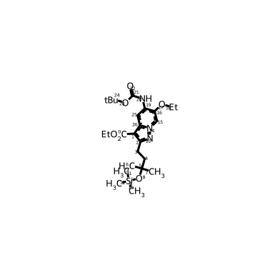 CCOC(=O)c1c(CCC(C)(C)O[Si](C)(C)C)nn2cc(OCC)c(NC(=O)OC(C)(C)C)cc12